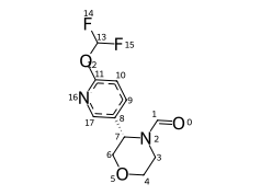 O=CN1CCOC[C@@H]1c1ccc(OC(F)F)nc1